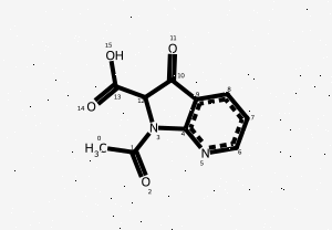 CC(=O)N1c2ncccc2C(=O)C1C(=O)O